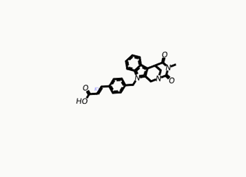 CN1C(=O)C2CN(Cc3c2c2ccccc2n3Cc2ccc(/C=C/C(=O)O)cc2)C1=O